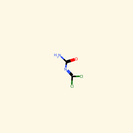 NC(=O)N=C(Cl)Cl